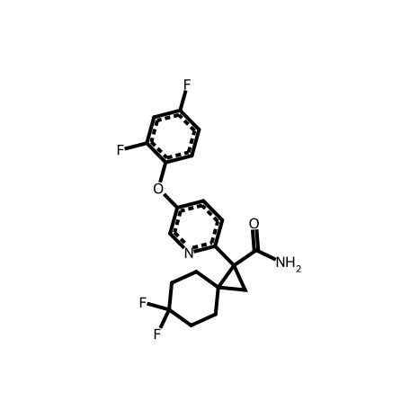 NC(=O)C1(c2ccc(Oc3ccc(F)cc3F)cn2)CC12CCC(F)(F)CC2